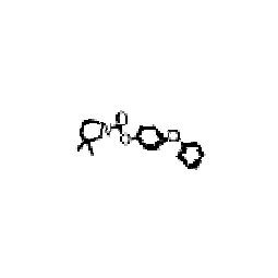 CC1(C)CCCN(C(=O)Oc2ccc(Oc3ccccc3)cc2)C1